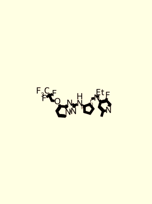 CCN(C[C@@H]1CCC[C@H]1Nc1nc2c(OCC(F)(F)C(F)(F)F)cccn2n1)c1cc(C)ncc1F